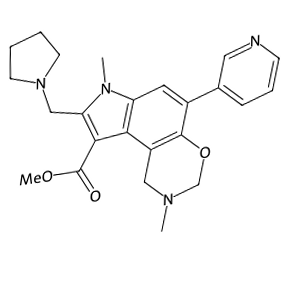 COC(=O)c1c(CN2CCCC2)n(C)c2cc(-c3cccnc3)c3c(c12)CN(C)CO3